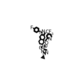 O=C(c1cc(C(F)(F)F)ccn1)[C@]12Cc3cnn(-c4ccc(F)cc4)c3C=C1CC[C@H](S(=O)(=O)c1cnn(C3CC3)n1)C2